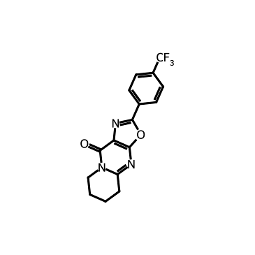 O=c1c2nc(-c3ccc(C(F)(F)F)cc3)oc2nc2n1CCCC2